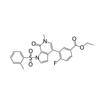 CCOC(=O)c1ccc(F)c(-c2cn(C)c(=O)c3c2ccn3S(=O)(=O)c2ccccc2C)c1